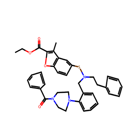 CCOC(=O)c1oc2ccc(SN(CCc3ccccc3)Cc3ccccc3N3CCN(C(=O)c4ccccc4)CC3)cc2c1C